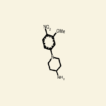 COc1cc(N2CCC(N)CC2)ccc1[N+](=O)[O-]